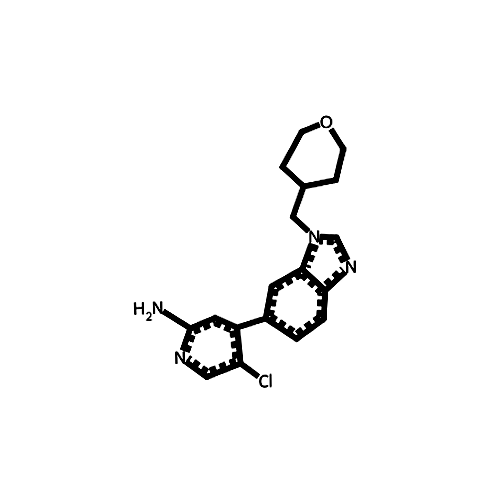 Nc1cc(-c2ccc3ncn(CC4CCOCC4)c3c2)c(Cl)cn1